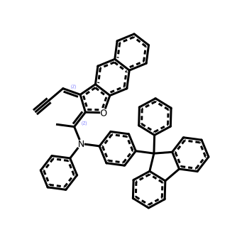 C#C/C=c1\c(=C(/C)N(c2ccccc2)c2ccc(C3(c4ccccc4)c4ccccc4-c4ccccc43)cc2)oc2cc3ccccc3cc12